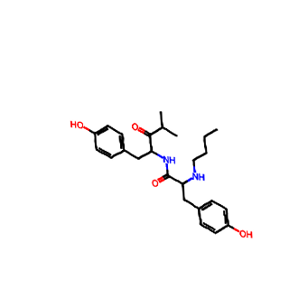 CCCCNC(Cc1ccc(O)cc1)C(=O)NC(Cc1ccc(O)cc1)C(=O)C(C)C